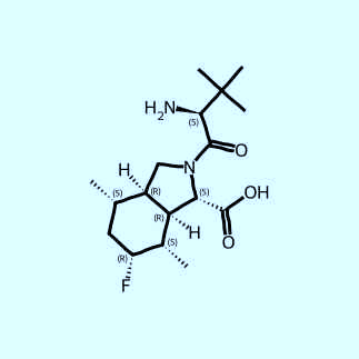 C[C@H]1[C@H]2[C@H](CN(C(=O)[C@@H](N)C(C)(C)C)[C@@H]2C(=O)O)[C@@H](C)C[C@H]1F